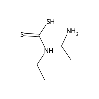 CCN.CCNC(=S)S